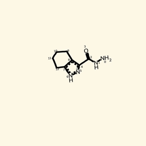 NNC(=O)c1n[nH]c2c1CCCC2